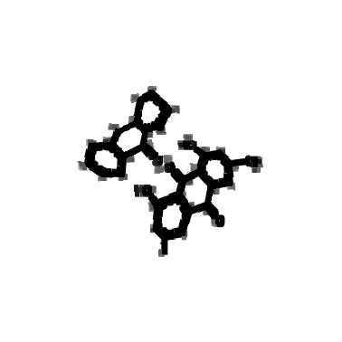 Cc1cc(O)c2c(c1)C(=O)c1cc(O)cc(O)c1C2=O.O=C1c2ccccc2Cc2ccccc21